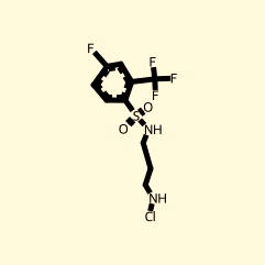 O=S(=O)(NCCCNCl)c1ccc(F)cc1C(F)(F)F